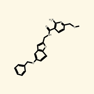 COCc1ccc(C(=O)NCc2cc3cc(OCc4ccccc4)ccc3o2)c(N)n1